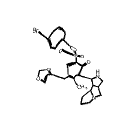 CC1=C(CC2=COCO2)C=C(S(=O)(=O)Oc2ccc(Br)cc2)C(=O)C1C1NCC2CN3CCCC3C21